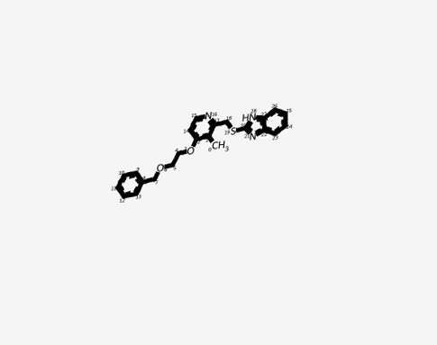 Cc1c(OCCOCc2ccccc2)ccnc1CSc1nc2ccccc2[nH]1